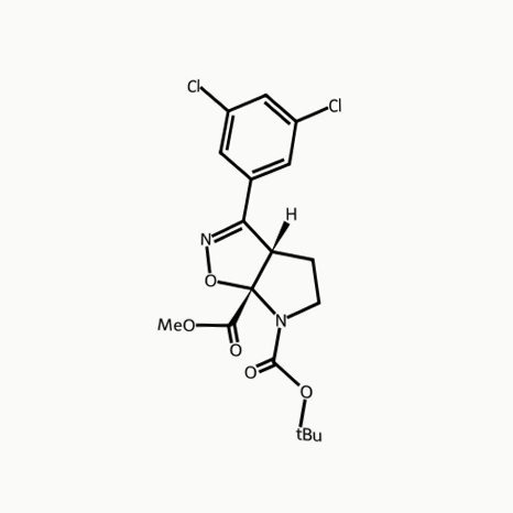 COC(=O)[C@@]12ON=C(c3cc(Cl)cc(Cl)c3)[C@@H]1CCN2C(=O)OC(C)(C)C